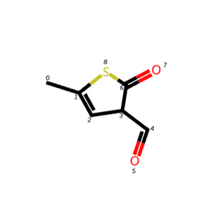 CC1=CC(C=O)C(=O)S1